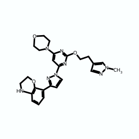 Cn1cc(CCOc2nc(N3CCOCC3)cc(-n3ccc(-c4cccc5c4OCCN5)n3)n2)cn1